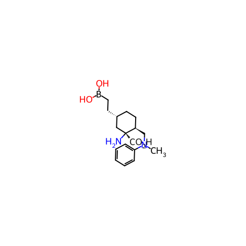 CN(C[C@@H]1CC[C@@H](CCB(O)O)C[C@]1(N)C(=O)O)c1ccccc1